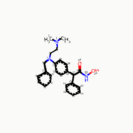 CN(C)CCN(Cc1ccccc1)c1ccc(C(C(=O)NO)c2ccccc2)cc1